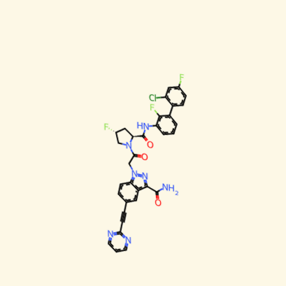 NC(=O)c1nn(CC(=O)N2C[C@H](F)C[C@H]2C(=O)Nc2cccc(-c3ccc(F)cc3Cl)c2F)c2ccc(C#Cc3ncccn3)cc12